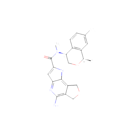 CC[C@H]1OC[C@@H](N(C)C(=O)c2cc3nc(N)c4c(c3[nH]2)COC4)c2ccc(C(F)(F)F)cc21